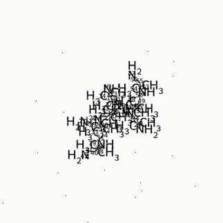 CC(C)(N)CCN(CCN(CCC(C)(C)N)C(C)(C)C(C)(C)CCN(CCN)C(C)(C)C(C)(C)CCNC(C)(C)CCN)C(C)(C)C(C)(C)CCNC(C)(C)CCN